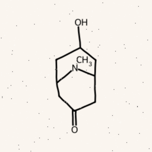 CN1C2CC(=O)CC1CC(O)C2